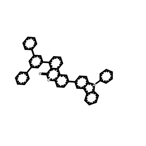 O=c1oc2ccc(-c3ccc4c(c3)c3ccccc3n4-c3ccccc3)cc2c2cccc(-c3cc(-c4ccccc4)cc(-c4ccccc4)c3)c12